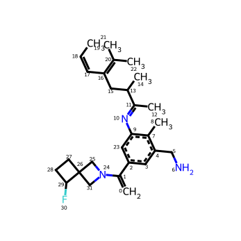 C=C(c1cc(CN)c(C)c(/N=C(\C)C(C)CC(/C=C\C)=C(C)C)c1)N1CC2(CCC2F)C1